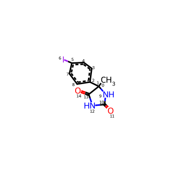 CC1(c2ccc(I)cc2)NC(=O)NC1=O